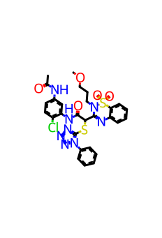 COCCCN1C(C(Sc2nnnn2-c2ccccc2)C(=O)Nc2cc(NC(C)=O)ccc2Cl)=Nc2ccccc2S1(=O)=O